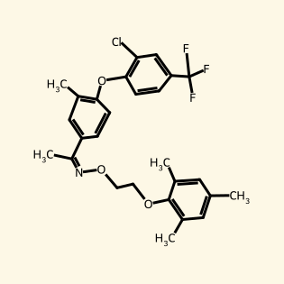 CC(=NOCCOc1c(C)cc(C)cc1C)c1ccc(Oc2ccc(C(F)(F)F)cc2Cl)c(C)c1